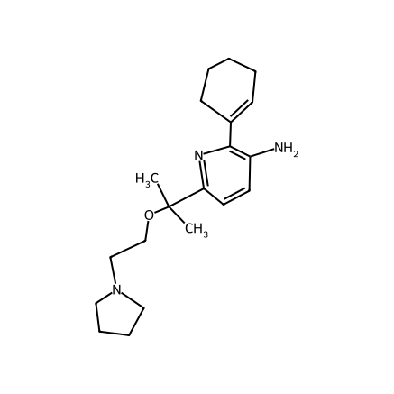 CC(C)(OCCN1CCCC1)c1ccc(N)c(C2=CCCCC2)n1